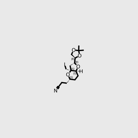 CC1(C)OC[C@H]([C@H]2C[C@]3(CI)O[C@@H](CCC#N)CC[C@@H]3O2)O1